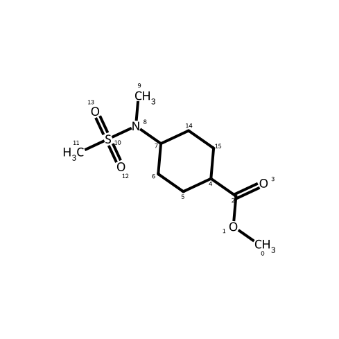 COC(=O)C1CCC(N(C)S(C)(=O)=O)CC1